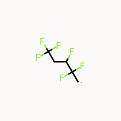 [CH2]C(F)(F)C(F)CC(F)(F)F